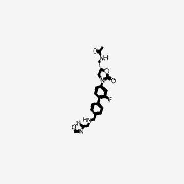 CC(=O)NC[C@H]1CN(c2ccc(-c3ccc(CNCc4ncon4)cc3)c(F)c2)C(=O)O1